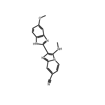 CNc1c(-c2nc3cc(OC)ccc3[nH]2)nc2cc(C#N)ccn12